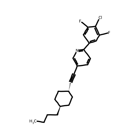 CCCC[C@H]1CC[C@H](C#Cc2ccc(-c3cc(F)c(Cl)c(F)c3)nc2)CC1